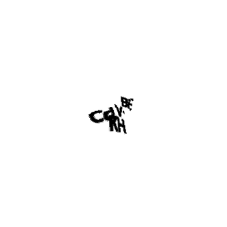 [Bi].[Cd].[KH].[V]